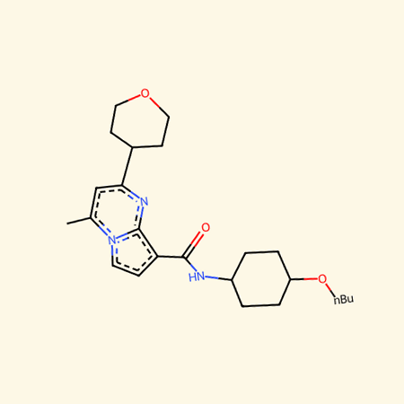 CCCCOC1CCC(NC(=O)c2ccn3c(C)cc(C4CCOCC4)nc23)CC1